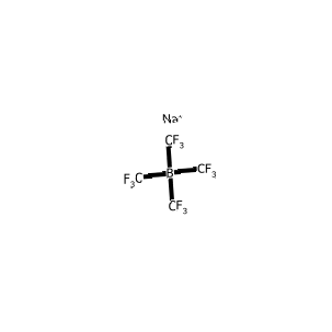 FC(F)(F)[B-](C(F)(F)F)(C(F)(F)F)C(F)(F)F.[Na+]